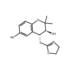 CC1(C)Oc2ccc(C#N)cc2[C@@H](SC2=NCCO2)[C@@H]1O